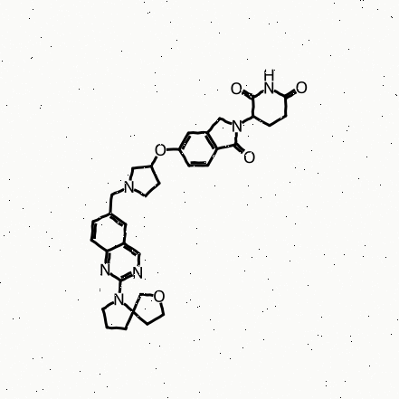 O=C1CCC(N2Cc3cc(OC4CCN(Cc5ccc6nc(N7CCCC78CCOC8)ncc6c5)C4)ccc3C2=O)C(=O)N1